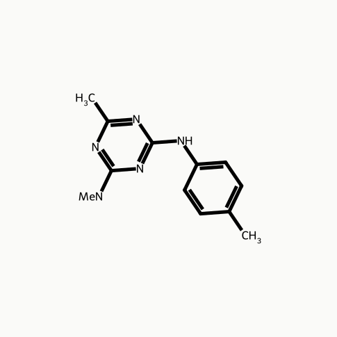 CNc1nc(C)nc(Nc2ccc(C)cc2)n1